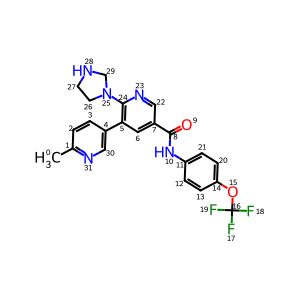 Cc1ccc(-c2cc(C(=O)Nc3ccc(OC(F)(F)F)cc3)cnc2N2CCNC2)cn1